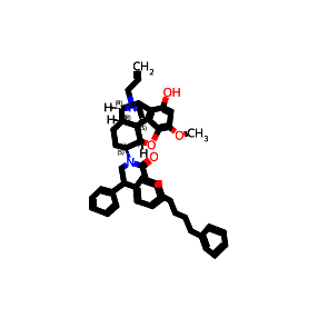 C=CCN1CC[C@]23c4c5c(O)cc(OC)c4O[C@H]2[C@@H](N(CC(c2ccccc2)c2ccccc2)C(=O)CCCCCCCc2ccccc2)CC[C@H]3[C@H]1C5